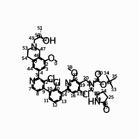 COc1cc(-c2nccc(-c3cccc(-c4cc(Cl)c(CN(C[C@@H]5CCC(=O)N5)C(=O)OC(C)(C)C)c(OC)n4)c3Cl)c2Cl)cc2c1CN(C[C@H](C)O)CC2